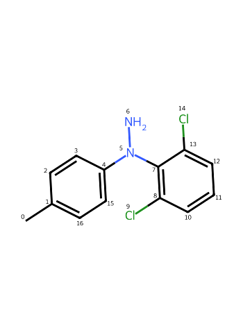 Cc1ccc(N(N)c2c(Cl)cccc2Cl)cc1